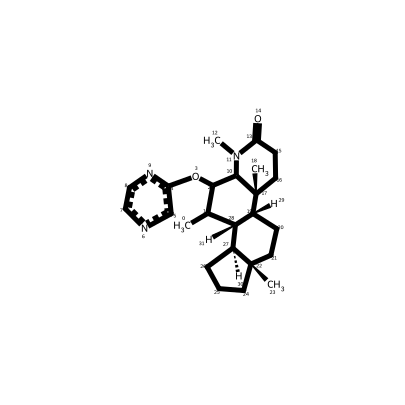 CC1C(Oc2cnccn2)C2N(C)C(=O)CC[C@]2(C)[C@@H]2CC[C@]3(C)CCC[C@H]3[C@H]12